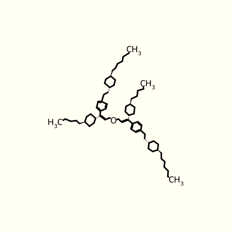 CCCCCCC[C@H]1CC[C@H](CCc2ccc(C(=CCOCC=C(c3ccc(CC[C@H]4CC[C@H](CCCCCCC)CC4)cc3)[C@H]3CC[C@H](CCCCC)CC3)[C@H]3CC[C@H](CCCCC)CC3)cc2)CC1